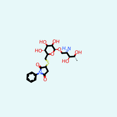 C[C@@H](O)[C@@H](O)[C@@H](N)CO[C@H]1OC(CSC2CC(=O)N(c3ccccc3)C2=O)[C@H](O)C(O)C1O